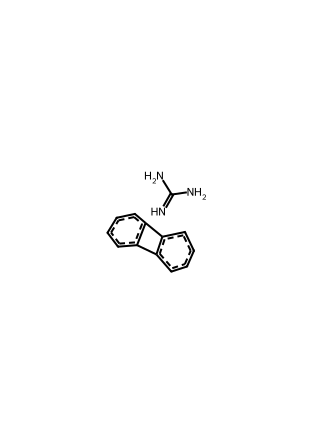 N=C(N)N.c1ccc2c(c1)-c1ccccc1-2